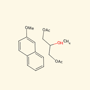 C.CC(=O)OCC(O)COC(C)=O.COc1ccc2ccccc2c1